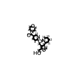 O=C(c1ccc(OCc2c(-c3ccccn3)noc2CO)nc1)N1CCOCC1